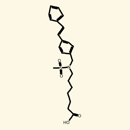 CS(=O)(=O)N(CCCCCCC(=O)O)Cc1ccc(C=Cc2ccccc2)cc1